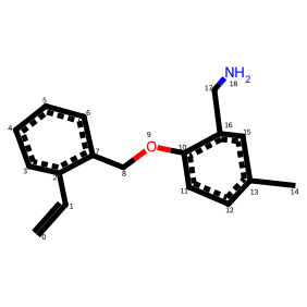 C=Cc1ccccc1COc1ccc(C)cc1CN